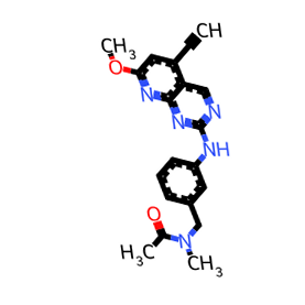 C#Cc1cc(OC)nc2nc(Nc3cccc(CN(C)C(C)=O)c3)ncc12